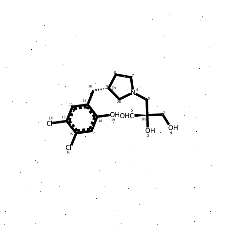 O=C[C@](O)(CO)CN1CC[C@@H](Cc2cc(Cl)c(Cl)cc2O)C1